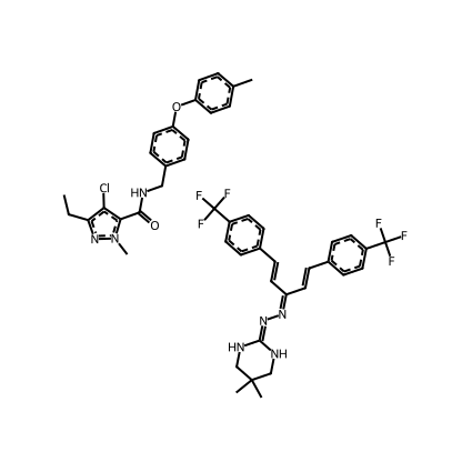 CC1(C)CNC(=NN=C(C=Cc2ccc(C(F)(F)F)cc2)C=Cc2ccc(C(F)(F)F)cc2)NC1.CCc1nn(C)c(C(=O)NCc2ccc(Oc3ccc(C)cc3)cc2)c1Cl